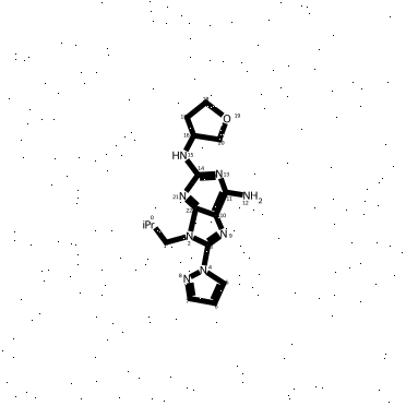 CC(C)Cn1c(-n2cccn2)nc2c(N)nc(NC3CCOC3)nc21